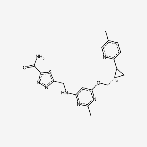 Cc1ccc(C2C[C@@H]2COc2cc(NCc3nnc(C(N)=O)s3)nc(C)n2)nc1